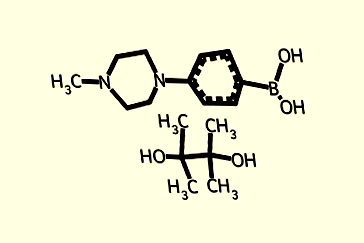 CC(C)(O)C(C)(C)O.CN1CCN(c2ccc(B(O)O)cc2)CC1